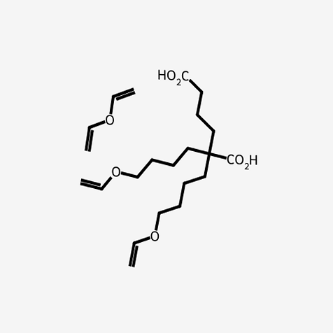 C=COC=C.C=COCCCCC(CCCCOC=C)(CCCC(=O)O)C(=O)O